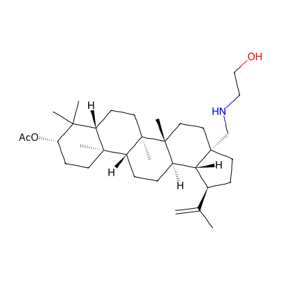 C=C(C)[C@@H]1CC[C@]2(CNCCO)CC[C@]3(C)[C@H](CC[C@@H]4[C@@]5(C)CC[C@H](OC(C)=O)C(C)(C)[C@@H]5CC[C@]43C)[C@@H]12